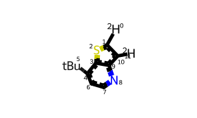 [2H]c1sc2c(C(C)(C)C)ccnc2c1[2H]